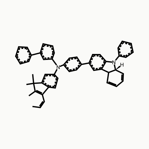 C/C=C\C1=C(C)C(C)(C)c2cc(N(c3ccc(-c4ccc5c(c4)C4C=CC=C[C@H]4N5c4ccccc4)cc3)c3cccc(-c4ccccc4)c3)ccc21